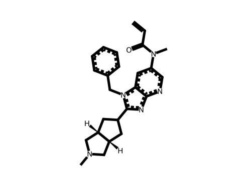 C=CC(=O)N(C)c1cnc2nc(C3C[C@@H]4CN(C)C[C@@H]4C3)n(Cc3ccccc3)c2c1